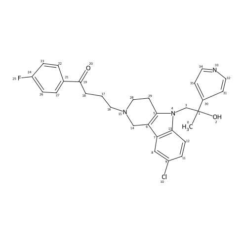 CC(O)(Cn1c2c(c3cc(Cl)ccc31)CN(CCCC(=O)c1ccc(F)cc1)CC2)c1ccncc1